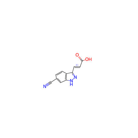 N#Cc1ccc2c(/C=C/C(=O)O)n[nH]c2c1